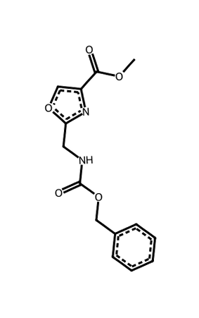 COC(=O)c1coc(CNC(=O)OCc2ccccc2)n1